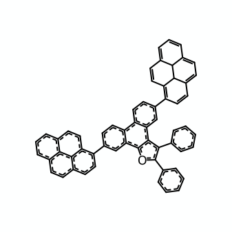 C1=CC2=CC=C3C=CC(c4ccc5c6ccc(-c7ccc8ccc9cccc%10ccc7c8c9%10)cc6c6oc(-c7ccccc7)c(-c7ccccc7)c6c5c4)=C4C=CC(=C1)C2C34